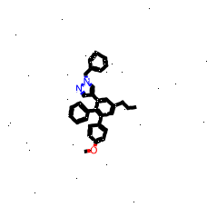 CCCc1cc(-c2ccc(OC)cc2)c(-c2ccccc2)c(-c2cnn(Cc3ccccc3)c2)c1